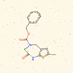 Cc1cc2c(s1)NC(=O)CN(C(=O)OCc1ccccc1)C2